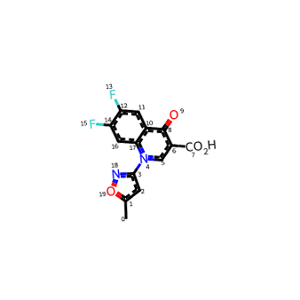 Cc1cc(-n2cc(C(=O)O)c(=O)c3cc(F)c(F)cc32)no1